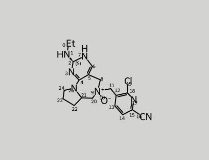 CCN[C@@H]1N=C2C(=CN1)C[N+]([O-])(Cc1ccc(C#N)nc1Cl)CC1CCCN21